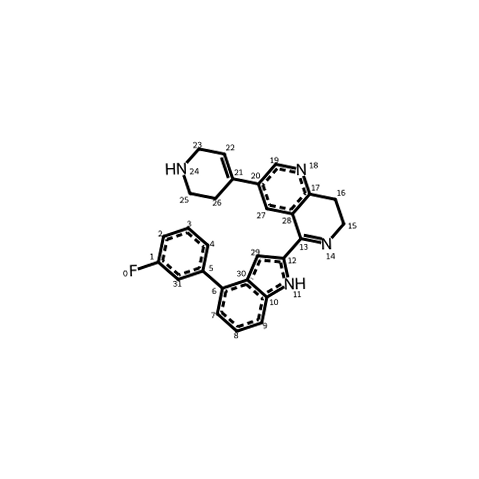 Fc1cccc(-c2cccc3[nH]c(C4=NCCc5ncc(C6=CCNCC6)cc54)cc23)c1